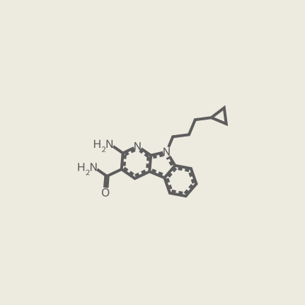 NC(=O)c1cc2c3ccccc3n(CCCC3CC3)c2nc1N